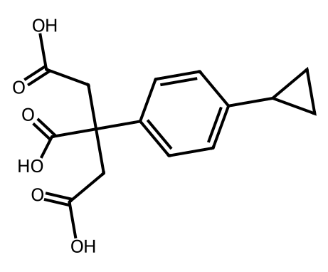 O=C(O)CC(CC(=O)O)(C(=O)O)c1ccc(C2CC2)cc1